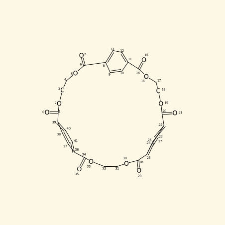 O=C1OCCOC(=O)c2ccc(cc2)C(=O)OCCOC(=O)c2ccc(cc2)C(=O)OCCOC(=O)c2ccc1cc2